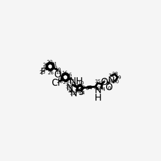 O=C(OC1CNC(C#Cc2cc3c(Nc4ccc(OCc5cccc(F)c5)c(Cl)c4)ncnc3s2)C1)N1CCCC1